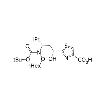 CCCCCCON(C(=O)OC(C)(C)C)[C@@H](C[C@@H](O)c1nc(C(=O)O)cs1)C(C)C